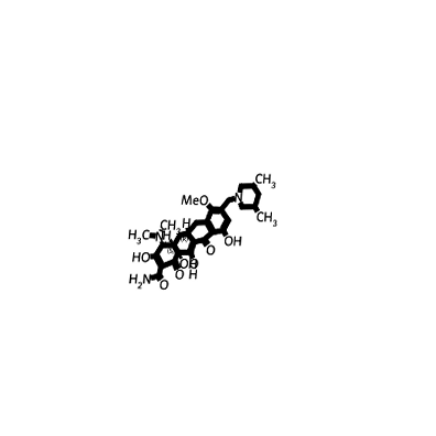 COc1c(CN2CC(C)CC(C)C2)cc(O)c2c1C[C@H]1C[C@H]3[C@H](N(C)C)C(O)=C(C(N)=O)C(=O)[C@@]3(O)C(O)=C1C2=O